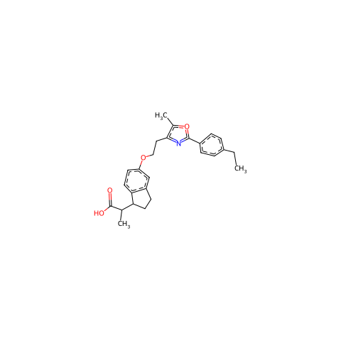 CCc1ccc(-c2nc(CCOc3ccc4c(c3)CCC4C(C)C(=O)O)c(C)o2)cc1